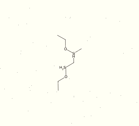 CCO[SiH2]C[SiH](C)OCC